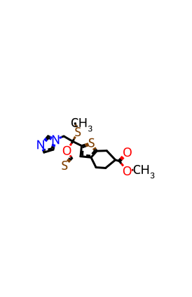 COC(=O)C1CCc2cc(C(Cn3ccnc3)(OC=S)SC)sc2C1